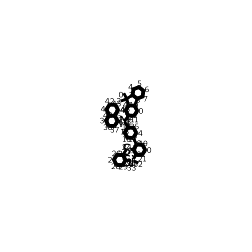 CC1(C)c2ccccc2-c2ccc(N(c3ccc(-c4cccc5c4Sc4ccccc4[Si]5(C)C)cc3)c3cccc4ccccc34)cc21